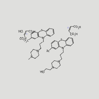 CC(=O)c1ccc2c(c1)N(CCCN1CCN(CCO)CC1)c1ccccc1S2.CN1CCN(CCCN2c3ccccc3Sc3ccc(C(F)(F)F)cc32)CC1.Cl.O=C(O)/C=C\C(=O)O.O=C(O)/C=C\C(=O)O